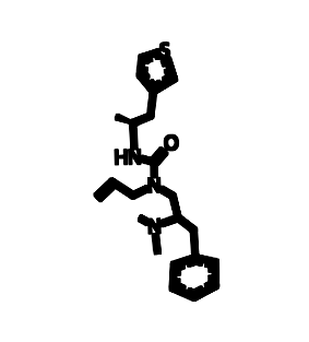 C=CCN(CC(Cc1ccccc1)N(C)C)C(=O)N[C@@H](C)Cc1ccsc1